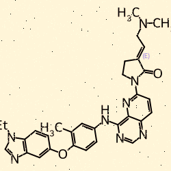 CCn1cnc2cc(Oc3ccc(Nc4ncnc5ccc(N6CC/C(=C\CN(C)C)C6=O)nc45)cc3C)ccc21